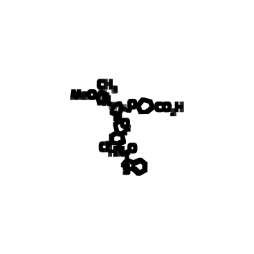 CO[C@H]1CN([C@H]2C[C@@H](CO[C@H]3CC[C@H](C(=O)O)CC3)N(C(=O)Cc3cc(Cl)c(NC(=O)c4csc5ccccc45)cc3F)C2)C[C@H]1C